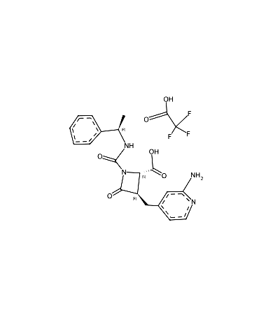 C[C@@H](NC(=O)N1C(=O)[C@H](Cc2ccnc(N)c2)[C@H]1C(=O)O)c1ccccc1.O=C(O)C(F)(F)F